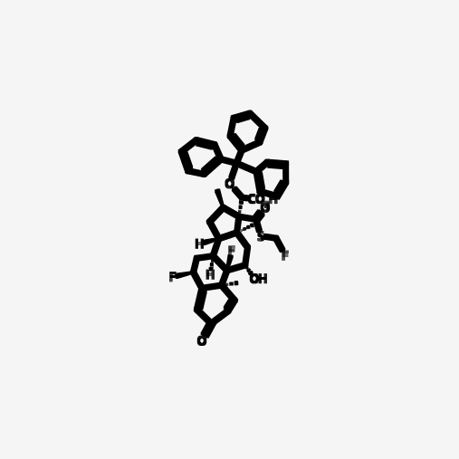 C[C@@H]1C[C@H]2[C@@H]3C[C@H](F)C4=CC(=O)C=C[C@]4(C)[C@@]3(F)[C@@H](O)C[C@]2(C)[C@@]1(C(=O)SCF)C(OC(c1ccccc1)(c1ccccc1)c1ccccc1)C(=O)O